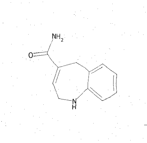 NC(=O)C1=CCNc2ccccc2C1